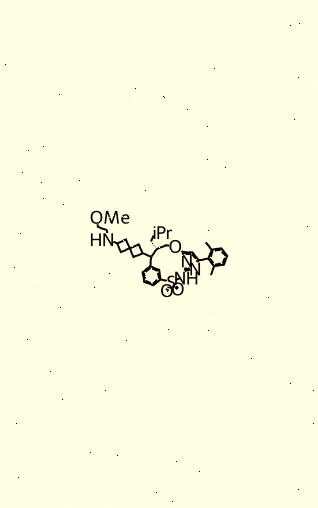 COCCNC1CC2(C1)CC(C1c3cccc(c3)S(=O)(=O)Nc3nc(cc(-c4c(C)cccc4C)n3)OC[C@H]1CC(C)C)C2